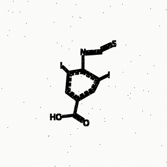 O=C(O)c1cc(I)c(N=C=S)c(I)c1